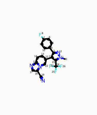 Cn1nc(-c2ccc(F)cc2)c(-c2ccc3ncc(C#N)n3c2)c1C(F)(F)F